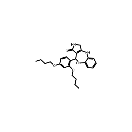 CCCCOc1ccc(C2Nc3ccccc3NC3=C2C(=O)NC3)c(OCCCC)c1